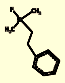 C[Si](C)(F)CCc1ccccc1